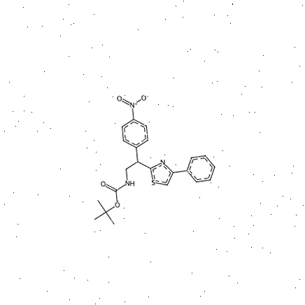 CC(C)(C)OC(=O)NCC(c1ccc([N+](=O)[O-])cc1)c1nc(-c2ccccc2)cs1